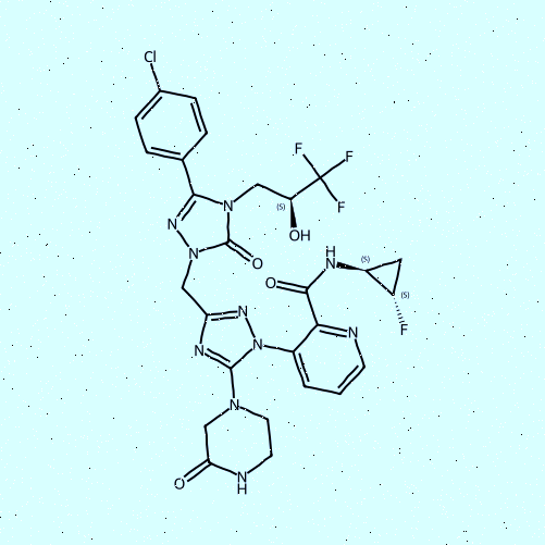 O=C1CN(c2nc(Cn3nc(-c4ccc(Cl)cc4)n(C[C@H](O)C(F)(F)F)c3=O)nn2-c2cccnc2C(=O)N[C@H]2C[C@@H]2F)CCN1